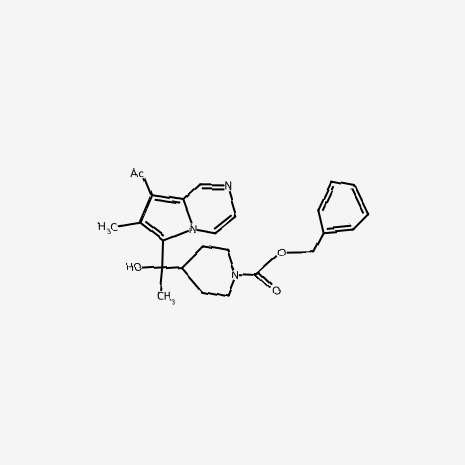 CC(=O)c1c(C)c(C(C)(O)C2CCN(C(=O)OCc3ccccc3)CC2)n2ccncc12